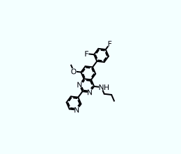 CCCNc1nc(-c2cccnc2)nc2c(OC)cc(-c3ccc(F)cc3F)cc12